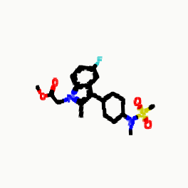 COC(=O)Cn1c(C)c(C2CCC(N(C)S(C)(=O)=O)CC2)c2cc(F)ccc21